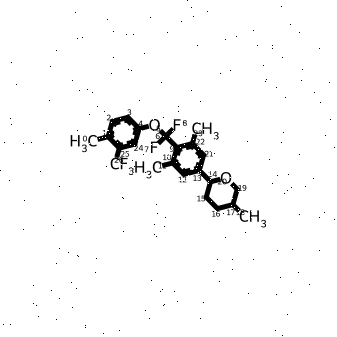 Cc1ccc(OC(F)(F)c2c(C)cc(C3CCC(C)CO3)cc2C)cc1C(F)(F)F